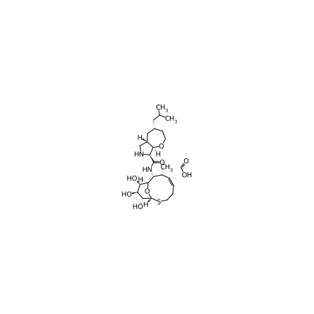 CC(C)C[C@@H]1CCO[C@@H]2[C@H](CN[C@@H]2C(=O)N[C@H]2[C@H]3O[C@H](SCC/C=C\[C@H]2C)[C@H](O)[C@@H](O)[C@H]3O)C1.O=CO